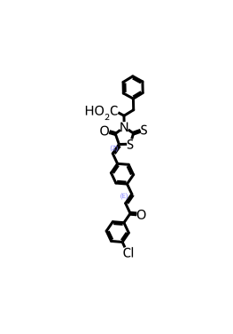 O=C(/C=C/c1ccc(/C=C2\SC(=S)N(C(Cc3ccccc3)C(=O)O)C2=O)cc1)c1cccc(Cl)c1